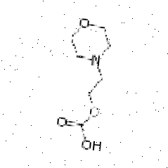 O=C(O)OCCN1CCOCC1